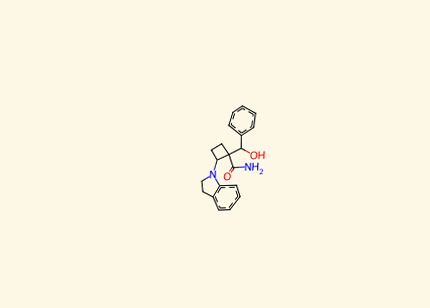 NC(=O)C1(C(O)c2ccccc2)CCC1N1CCc2ccccc21